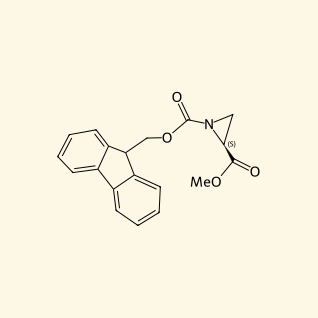 COC(=O)[C@@H]1CN1C(=O)OCC1c2ccccc2-c2ccccc21